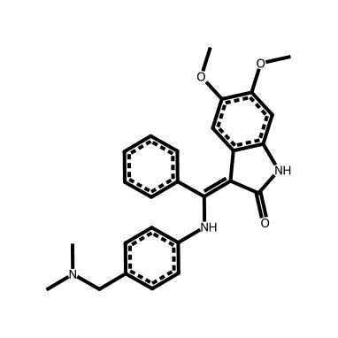 COc1cc2c(cc1OC)/C(=C(/Nc1ccc(CN(C)C)cc1)c1ccccc1)C(=O)N2